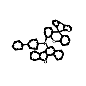 c1ccc(-c2ccc(N(c3cccc4c3Oc3ccccc3C43c4ccccc4-c4ccccc43)c3cc4ccccc4c4oc5ccccc5c34)cc2)cc1